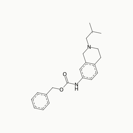 C[C](C)CN1CCc2ccc(NC(=O)OCc3ccccc3)cc2C1